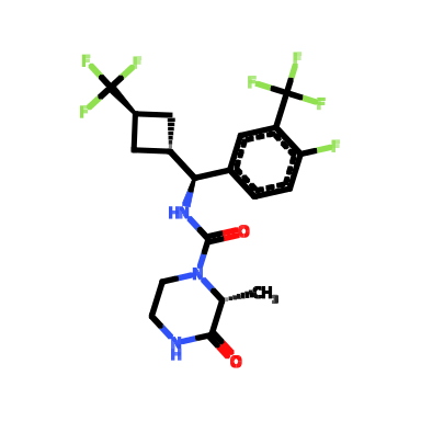 C[C@@H]1C(=O)NCCN1C(=O)N[C@H](c1ccc(F)c(C(F)(F)F)c1)[C@H]1C[C@H](C(F)(F)F)C1